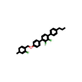 CCCc1ccc(-c2ccc(-c3ccc(OCC4=CCC(C)C=C4F)cc3)c(F)c2F)cc1